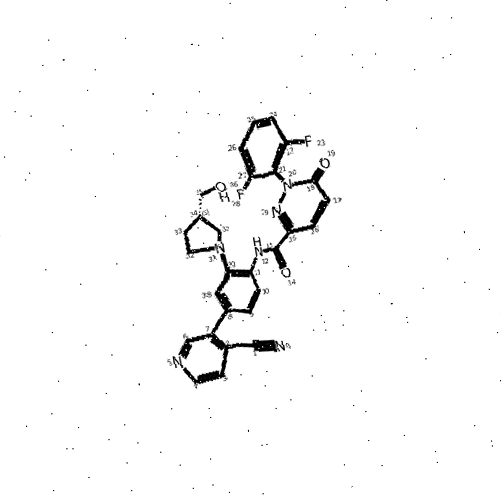 N#Cc1ccncc1-c1ccc(NC(=O)c2ccc(=O)n(-c3c(F)cccc3F)n2)c(N2CC[C@H](CO)C2)c1